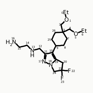 CCOCC1(COCC)CCC(c2c(CNCCN)nn3c2CC(F)(F)C3)CC1